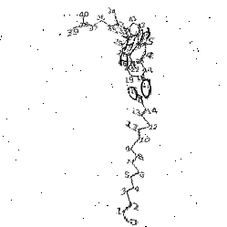 CCCCCCCCCCCCCCCC(=O)O[C@H]1CC[C@@]2(C)C(=CC[C@@H]3[C@H]2CC[C@]2(C)[C@@H]([C@H](C)CCCC(C)C)CC[C@@H]32)C1